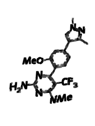 CNc1nc(N)nc(-c2ccc(-c3cn(C)nc3C)cc2OC)c1C(F)(F)F